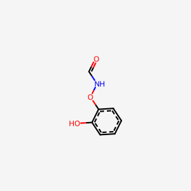 O=CNOc1ccccc1O